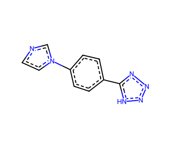 c1cn(-c2ccc(-c3nnn[nH]3)cc2)cn1